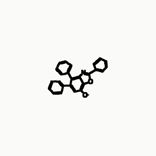 [O]c1cc(-c2ccccc2)c(-c2ccccc2)c2nc(-c3ccccc3)oc12